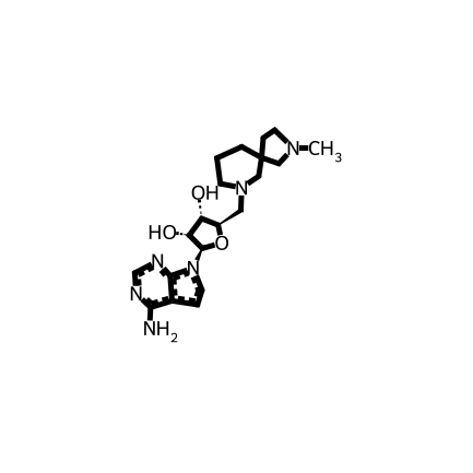 CN1CCC2(CCCN(C[C@H]3O[C@@H](n4ccc5c(N)ncnc54)[C@H](O)[C@@H]3O)C2)C1